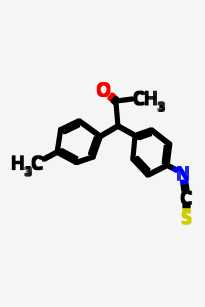 CC(=O)C(c1ccc(C)cc1)c1ccc(N=C=S)cc1